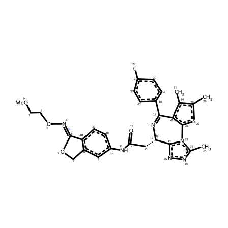 COCCO/N=C1\OCc2cc(NC(=O)C[C@@H]3N=C(c4ccc(Cl)cc4)c4c(sc(C)c4C)-n4c(C)nnc43)ccc21